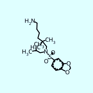 CC(C)CN(CC(C)(C)CCCCN)S(=O)(=O)c1ccc2c(c1)OCO2